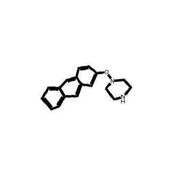 [c]1c(ON2CCNCC2)ccc2cc3ccccc3cc12